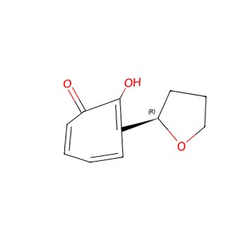 O=c1ccccc([C@H]2CCCO2)c1O